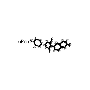 CCCCC[C@H]1CC[C@H](c2cc(F)c(-c3ccc4cc(F)ccc4c3)c(F)c2)CC1